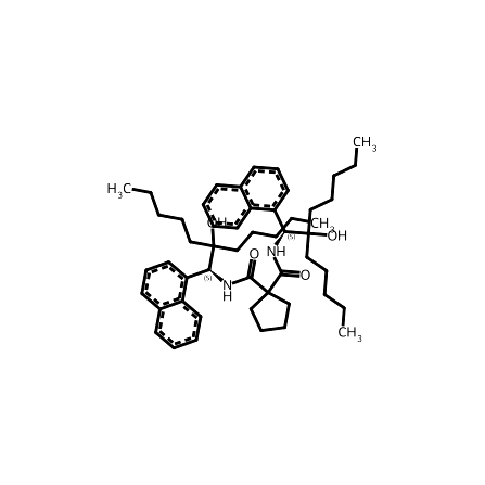 CCCCCC(O)(CCCCC)[C@@H](NC(=O)C1(C(=O)N[C@@H](c2cccc3ccccc23)C(O)(CCCCC)CCCCC)CCCC1)c1cccc2ccccc12